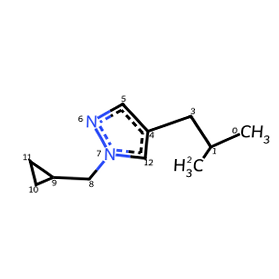 CC(C)Cc1cnn(CC2CC2)c1